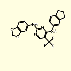 FC(F)(F)c1cnc(Nc2ccc3c(c2)OCO3)nc1Nc1ccc2c(c1)CCC2